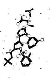 Cc1ccccc1S(=O)(=O)N1C([C@H](C)CC(C)(C)C)C=C([C@H]2CC[C@@H](N(C)[C@@H](CC(C)C)C(N)=O)C2=O)[C@@H]1c1ccc(Cl)cc1